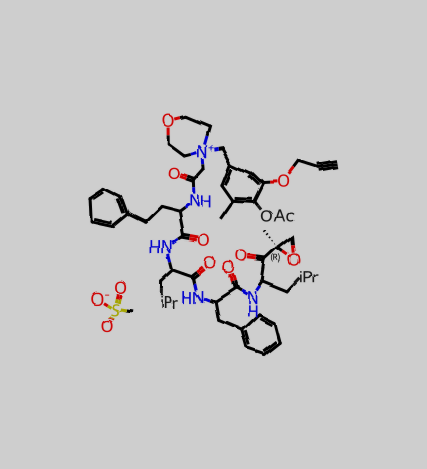 C#CCOc1cc(C[N+]2(CC(=O)NC(CCc3ccccc3)C(=O)NC(CC(C)C)C(=O)NC(Cc3ccccc3)C(=O)NC(CC(C)C)C(=O)[C@@]3(C)CO3)CCOCC2)cc(C)c1OC(C)=O.CS(=O)(=O)[O-]